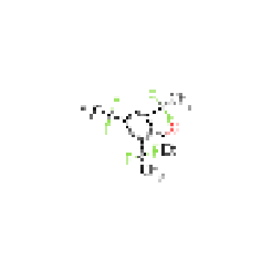 CCC([O])c1c(C(F)(F)C(F)(F)F)cc(C(F)(F)C(F)(F)F)cc1C(F)(F)C(F)(F)F